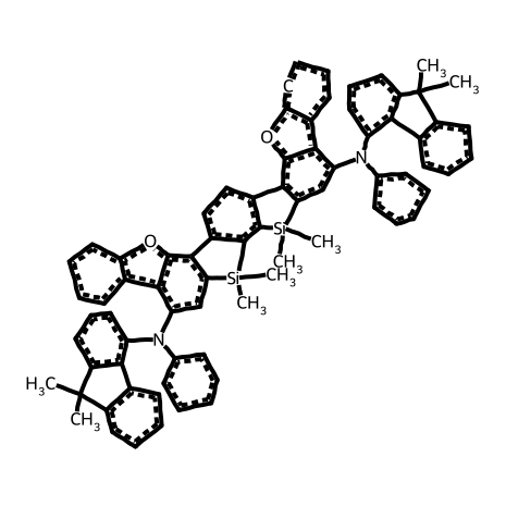 CC1(C)c2ccccc2-c2c(N(c3ccccc3)c3cc4c(c5oc6ccccc6c35)-c3ccc5c(c3[Si]4(C)C)[Si](C)(C)c3cc(N(c4ccccc4)c4cccc6c4-c4ccccc4C6(C)C)c4c(oc6ccccc64)c3-5)cccc21